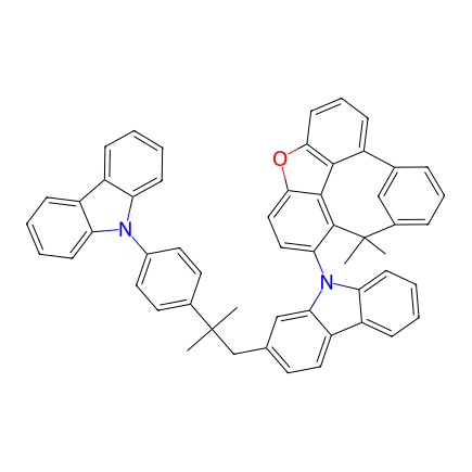 CC(C)(Cc1ccc2c3ccccc3n(-c3ccc4oc5cccc6c5c4c3C(C)(C)c3cccc-6c3)c2c1)c1ccc(-n2c3ccccc3c3ccccc32)cc1